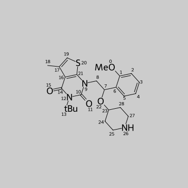 COc1ccccc1C(Cn1c(=O)n(C(C)(C)C)c(=O)c2c(C)csc21)OC1CCNCC1